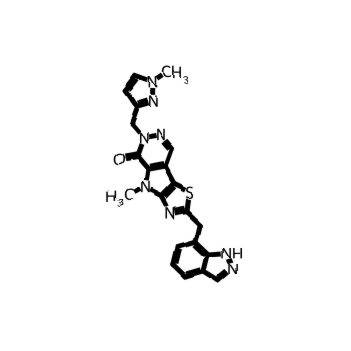 Cn1ccc(Cn2ncc3c4sc(Cc5cccc6cn[nH]c56)nc4n(C)c3c2=O)n1